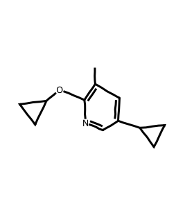 Cc1cc(C2CC2)cnc1OC1CC1